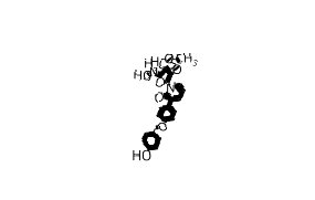 C[C@@](CCn1cccc(-c2ccc(OC[C@H]3CC[C@H](O)CC3)cc2)c1=O)(C(=O)NO)S(C)(=O)=O